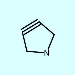 C1#CC[N]C1